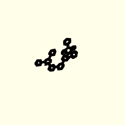 c1ccc(-c2cc(-c3ccccc3)nc(-c3cccc(-c4cccc(-c5ccc6c(c5)-c5ccccc5C65c6ccccc6N(c6ccccc6)c6ccccc65)c4)c3)n2)cc1